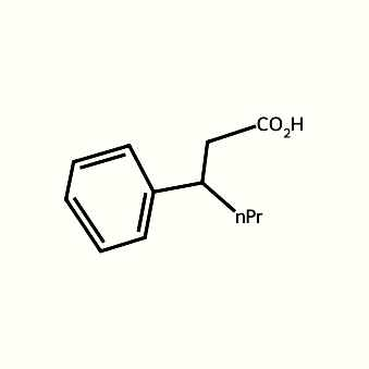 CCCC(CC(=O)O)c1ccccc1